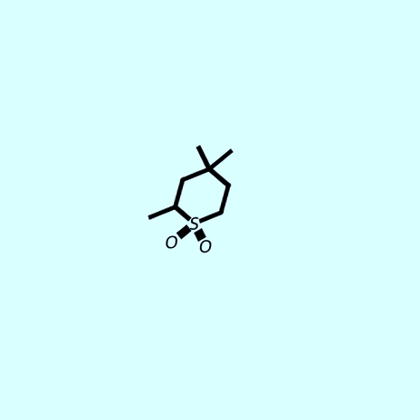 CC1CC(C)(C)CCS1(=O)=O